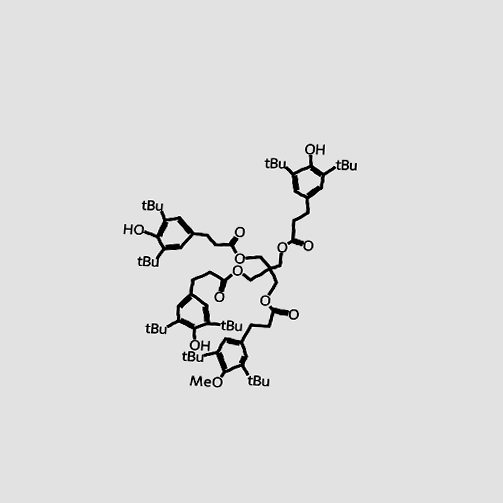 COc1c(C(C)(C)C)cc(CCC(=O)OCC(COC(=O)CCc2cc(C(C)(C)C)c(O)c(C(C)(C)C)c2)(COC(=O)CCc2cc(C(C)(C)C)c(O)c(C(C)(C)C)c2)COC(=O)CCc2cc(C(C)(C)C)c(O)c(C(C)(C)C)c2)cc1C(C)(C)C